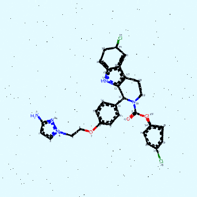 Nc1ccn(CCOc2ccc(C3c4[nH]c5c(c4CCN3C(=O)Oc3ccc(Cl)cc3)=CC(Cl)CC=5)cc2)n1